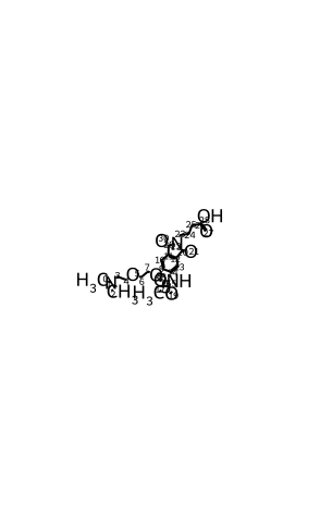 CN(C)CCOCCOc1cc2c(cc1NS(C)(=O)=O)C(=O)N(CCCC(=O)O)C2=O